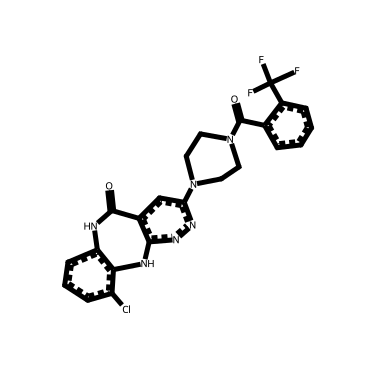 O=C1Nc2cccc(Cl)c2Nc2nnc(N3CCN(C(=O)c4ccccc4C(F)(F)F)CC3)cc21